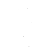 COc1ccc(C(OC)C(=O)c2ccccc2)cc1